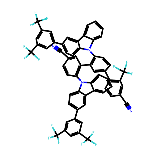 N#Cc1ccc(-n2c3ccccc3c3cc(-c4cc(C(F)(F)F)cc(C(F)(F)F)c4)ccc32)c(-c2cc(-c3ccc(C#N)cc3C(F)(F)F)ccc2-n2c3ccccc3c3cc(-c4cc(C(F)(F)F)cc(C(F)(F)F)c4)ccc32)c1